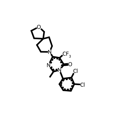 Cc1nc(N2CCC3(CCOC3)CC2)c(C(F)(F)F)c(=O)n1-c1cccc(Cl)c1Cl